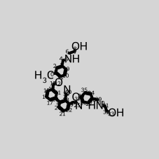 Cc1cc(CNCCO)ccc1OCc1cccc(-c2cccc(-c3nc4cc(CNCCO)ccc4o3)c2C#N)c1